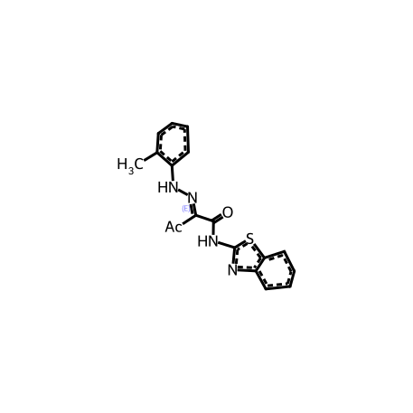 CC(=O)/C(=N\Nc1ccccc1C)C(=O)Nc1nc2ccccc2s1